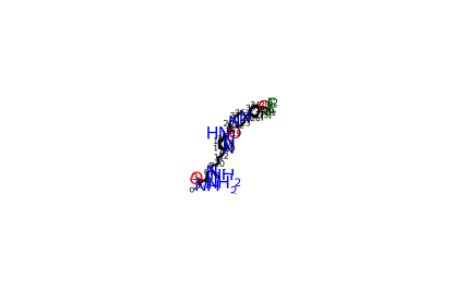 CNC(=O)/C(N)=C/N(N)CCCCc1ccc(NC(=O)CN2CCN(c3ccc(OC(F)(F)F)cc3)CC2)nn1